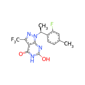 Cc1ccc([C@H](C)n2nc(C(F)(F)F)c3c(=O)[nH]c(O)nc32)c(F)c1